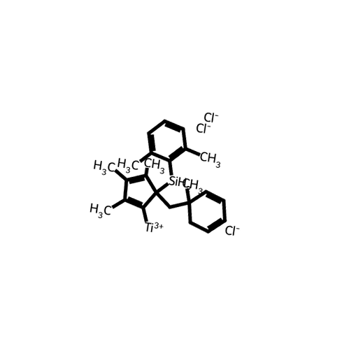 CC1=C(C)C(CC2(C)C=CC=CC2)([SiH2]c2c(C)cccc2C)[C]([Ti+3])=C1C.[Cl-].[Cl-].[Cl-]